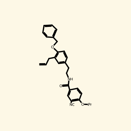 [C-]#[N+]c1cc(C(=O)NCCc2ccc(OCc3ccccc3)c(CC=C)c2)ccc1OC(C)C